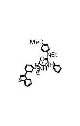 CCN(C(=O)[C@H](Cc1ccccc1)NC(=O)NS(=O)(=O)c1cccc(-c2csc3ccccc23)c1)c1ccc(OC)cc1